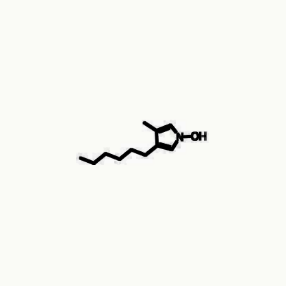 CCCCCCc1cn(O)cc1C